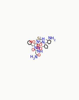 Cc1c(N)cccc1CNC(=O)[C@H]1N(C(=O)[C@@H](O)[C@H](Cc2ccccc2)NC(=O)[C@H](CC(N)=O)NC(=O)OCc2ccccc2)CSC1(C)C